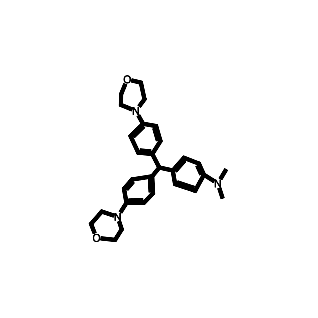 CN(C)c1ccc(C(c2ccc(N3CCOCC3)cc2)c2ccc(N3CCOCC3)cc2)cc1